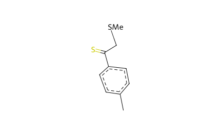 CSCC(=S)c1ccc(C)cc1